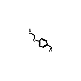 COCOc1c[c]c(C=O)cc1